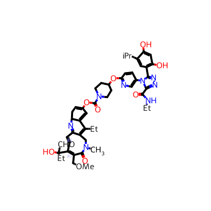 CCNC(=O)c1nnc(-c2cc(C(C)C)c(O)cc2O)n1-c1ccc(OC2CCN(C(=O)OC3=CCC4N=C5/C=C/C(C(O)(C=O)CC)=C(/COC)C(=O)N(C)CC5=C(CC)C4=C3)CC2)nc1